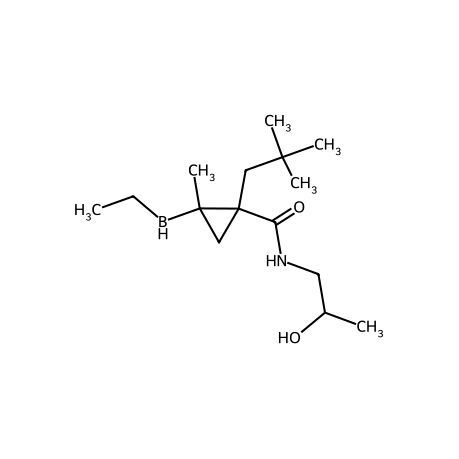 CCBC1(C)CC1(CC(C)(C)C)C(=O)NCC(C)O